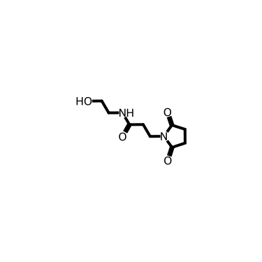 O=C(CCN1C(=O)CCC1=O)NCCO